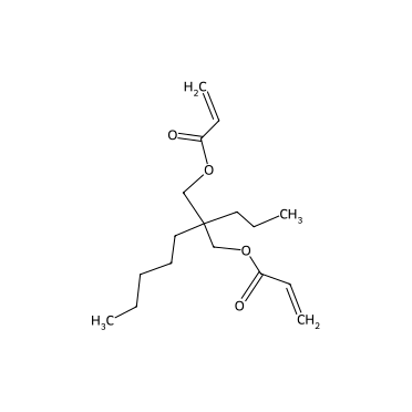 C=CC(=O)OCC(CCC)(CCCCC)COC(=O)C=C